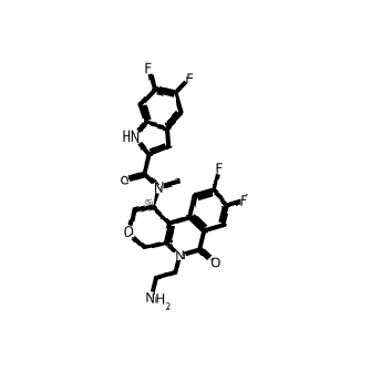 CN(C(=O)c1cc2cc(F)c(F)cc2[nH]1)[C@@H]1COCc2c1c1cc(F)c(F)cc1c(=O)n2CCN